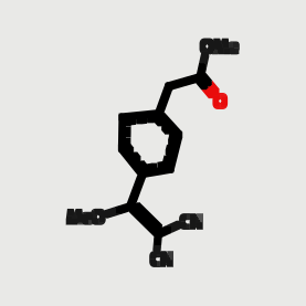 COC(=O)Cc1ccc(C(OC)=C(C#N)C#N)cc1